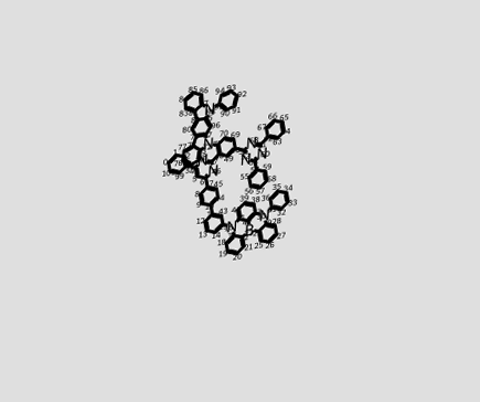 c1ccc(-c2cc(-c3ccc(-c4cccc(N5c6ccccc6B6c7ccccc7N(c7ccccc7)c7cccc5c76)c4)cc3)nc(-c3cc(-c4nc(-c5ccccc5)nc(-c5ccccc5)n4)ccc3-n3c4ccccc4c4cc5c6ccccc6n(-c6ccccc6)c5cc43)n2)cc1